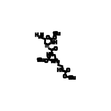 CC(C)(C)OC(=O)NCCC[C@@H](CNC(=O)C[C@H](CCCN)NC(=O)OC(C)(C)C)NC(=O)OC(C)(C)C